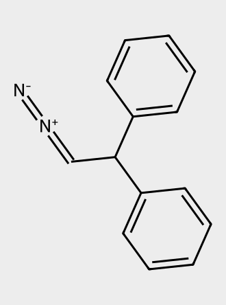 [N-]=[N+]=CC(c1ccccc1)c1ccccc1